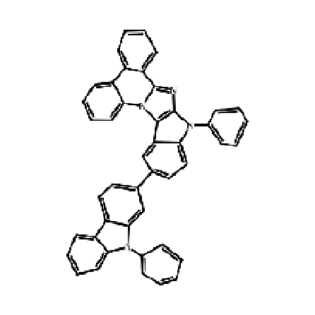 c1ccc(-n2c3ccccc3c3ccc(-c4ccc5c(c4)c4c(nc6c7ccccc7c7ccccc7n64)n5-c4ccccc4)cc32)cc1